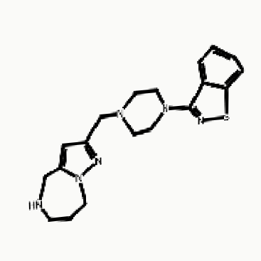 c1ccc2c(N3CCN(Cc4cc5n(n4)CCCNC5)CC3)nsc2c1